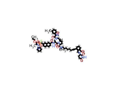 CCCOC(=O)[C@H](C)NP(=O)(Oc1ccccc1)C(F)c1ccc2ccc(C(=O)N[C@H]3CN(C(=O)c4noc5ccc(C)cc45)CC[C@H]4CC[C@@H](C(=O)N(C)CCCCCCC#Cc5cccc6c5CN(C5CCC(=O)NC5=O)C6=O)N4C3=O)cc2c1